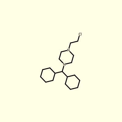 ClCCN1CCN(C(C2CCCCC2)C2CCCCC2)CC1